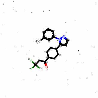 Cc1cccc(-n2nccc2C2CCC(C(=O)CC(F)(F)F)CC2)c1